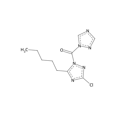 CCCCCc1nc(Cl)nn1C(=O)n1cncn1